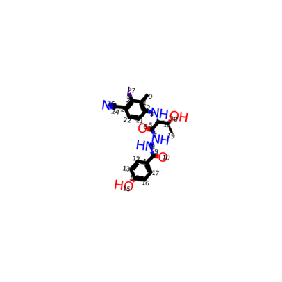 Cc1c(N[C@@H](C(=O)NNC(=O)c2ccc(O)cc2)[C@H](C)O)ccc(C#N)c1I